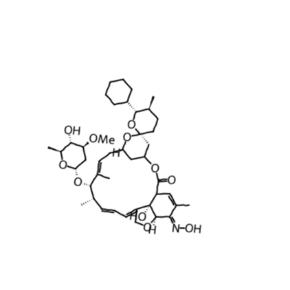 CO[C@H]1C[C@H](O[C@@H]2/C(C)=C/C[C@@H]3CC(C[C@]4(CC[C@H](C)[C@@H](C5CCCCC5)O4)O3)OC(=O)C3C=C(C)/C(=N\O)[C@H]4OC/C(=C\C=C\[C@@H]2C)[C@@]34O)O[C@@H](C)[C@@H]1O